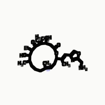 CCC1C(=O)C(C)(C)C(O)CC(=O)OC(C(C)=Cc2coc(CN)n2)C/C=C(\C)CCCC(C)C1O